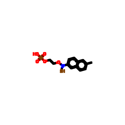 Cc1ccc2cc(N(S)OCCOS(=O)(=O)O)ccc2c1